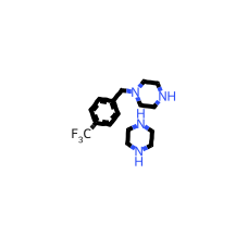 C1CNCCN1.FC(F)(F)c1ccc(CN2CCNCC2)cc1